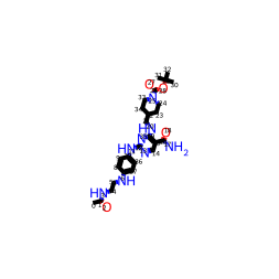 CC(=O)NCCNc1ccc(Nc2ncc(C(N)=O)c(NCC3CCN(C(=O)OC(C)(C)C)CC3)n2)cc1